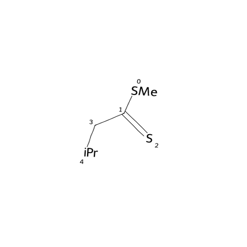 CSC(=S)CC(C)C